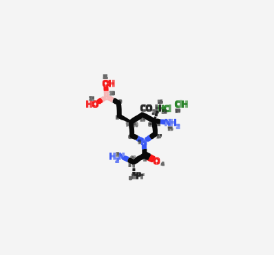 CCC[C@H](N)C(=O)N1C[C@@H](CCB(O)O)C[C@](N)(C(=O)O)C1.Cl.Cl